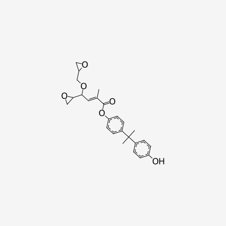 CC(=CC(OCC1CO1)C1CO1)C(=O)Oc1ccc(C(C)(C)c2ccc(O)cc2)cc1